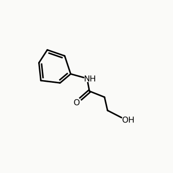 O=C(CCO)Nc1ccccc1